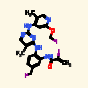 C=C(I)C(=O)Nc1cc(CI)ccc1Nc1nc(Nc2cc(OCI)ncc2C)ncc1C(F)(F)F